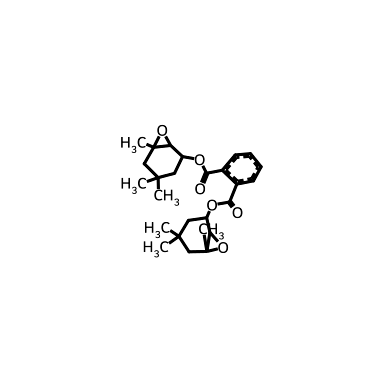 CC1(C)CC(OC(=O)c2ccccc2C(=O)OC2CC(C)(C)CC3(C)OC23)C2OC2(C)C1